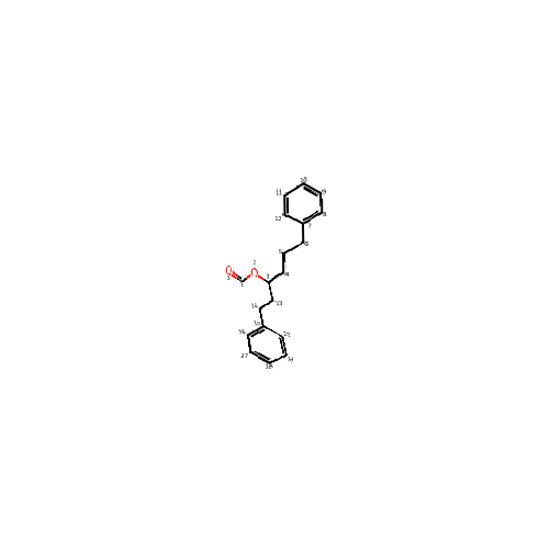 O=COC(CCCc1ccccc1)CCc1ccccc1